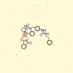 O=C(NCCc1ccccc1)Nc1ccc(CN2C(=O)[C@H]3CCC[C@H]3N(C(=O)CN3C(=O)c4ccccc4C3=O)c3ccccc32)cc1